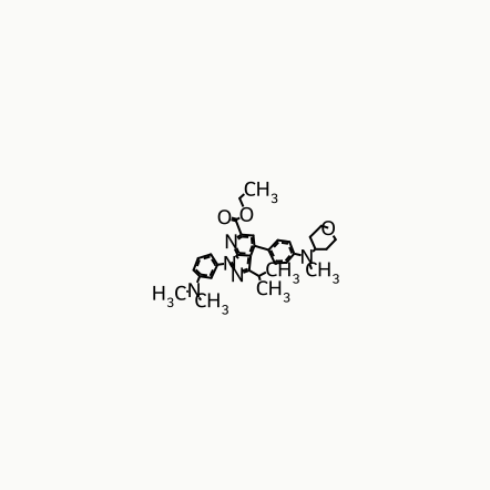 CCOC(=O)c1cc(-c2ccc(N(C)C3CCOCC3)cc2)c2c(C(C)C)nn(-c3cccc(N(C)C)c3)c2n1